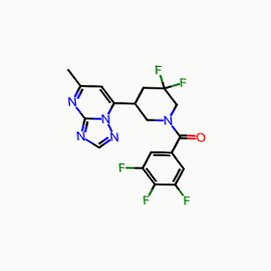 Cc1cc(C2CN(C(=O)c3cc(F)c(F)c(F)c3)CC(F)(F)C2)n2ncnc2n1